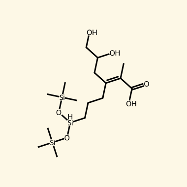 CC(C(=O)O)=C(CCC[SiH](O[Si](C)(C)C)O[Si](C)(C)C)CC(O)CO